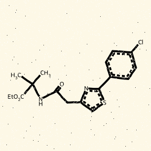 CCOC(=O)C(C)(C)NC(=O)Cc1csc(-c2ccc(Cl)cc2)n1